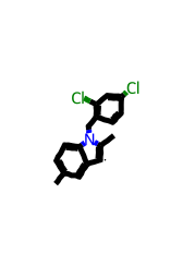 Cc1ccc2c([c]c(C)n2Cc2ccc(Cl)cc2Cl)c1